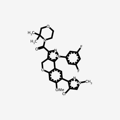 COc1cc2c(cc1-c1nn(C)cc1Cl)-c1c(c(C(=O)N3CCOCC3(C)C)nn1-c1cc(F)cc(F)c1)CO2